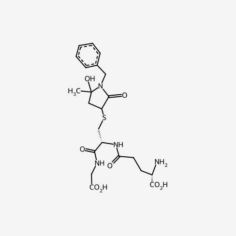 CC1(O)CC(SC[C@H](NC(=O)CC[C@H](N)C(=O)O)C(=O)NCC(=O)O)C(=O)N1Cc1ccccc1